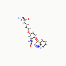 CN1C(=O)[C@@H](N)[C@@H](c2ccccc2)Oc2ccc(OCCCCC(N)=O)cc21